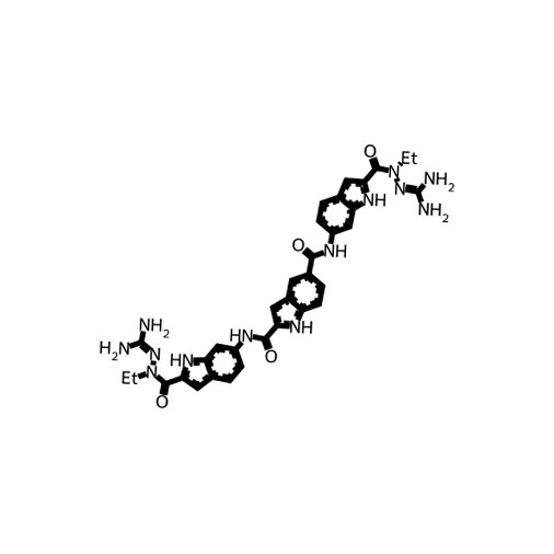 CCN(N=C(N)N)C(=O)c1cc2ccc(NC(=O)c3ccc4[nH]c(C(=O)Nc5ccc6cc(C(=O)N(CC)N=C(N)N)[nH]c6c5)cc4c3)cc2[nH]1